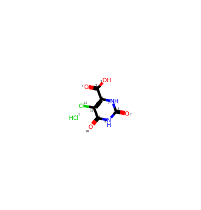 Cl.O=C(O)c1[nH]c(=O)[nH]c(=O)c1Cl